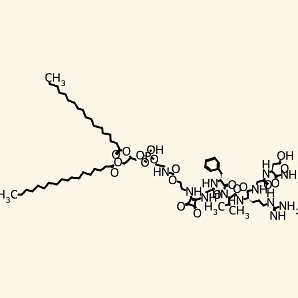 CCCCCCCCCCCCCCCCCC(=O)OCC(COP(=O)(O)OCCNC(=O)OCCNc1c(NCC(=O)N[C@H](Cc2ccccc2)C(=O)N[C@H](C(=O)N[C@@H](CCCNC(=N)N)C(=O)NCC(=O)N[C@@H](CC(=O)O)C(N)=O)C(C)C)c(=O)c1=O)OC(=O)CCCCCCCCCCCCCCCCC